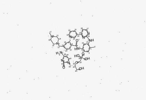 Cc1ccc(NC(=O)c2ccc(CN3CCN(C)CC3)cc2)cc1Nc1nccc(-c2cccnc2)n1.Nc1ccn(C[C@@H](CO)OCP(=O)(O)O)c(=O)n1